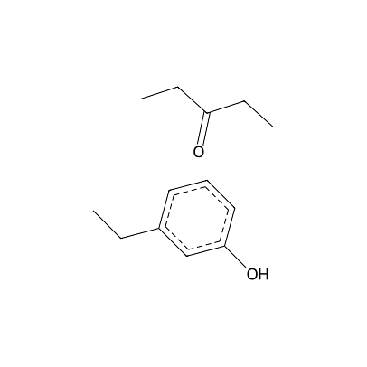 CCC(=O)CC.CCc1cccc(O)c1